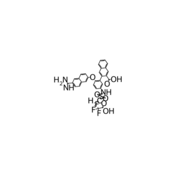 CS(=O)(=O)Nc1ccc(Oc2ccc3cc(C(=N)N)ccc3c2)c(-c2cc3ccccc3cc2C(=O)O)c1.O=C(O)C(F)(F)F